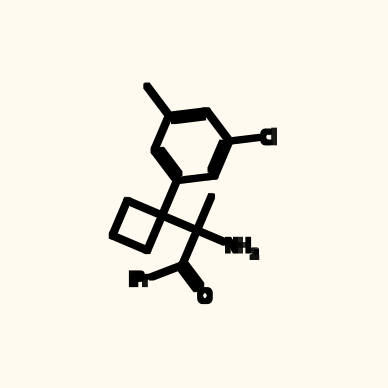 Cc1cc(Cl)cc(C2(C(C)(N)C(=O)C(C)C)CCC2)c1